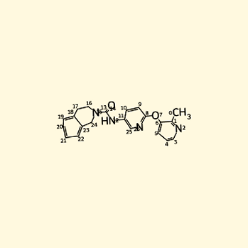 Cc1ncccc1Oc1ccc(NC(=O)N2CCc3ccccc3C2)cn1